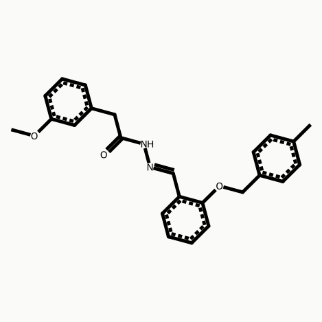 COc1cccc(CC(=O)NN=Cc2ccccc2OCc2ccc(C)cc2)c1